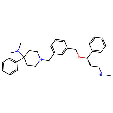 CNCC[C@@H](OCc1cccc(CN2CCC(c3ccccc3)(N(C)C)CC2)c1)c1ccccc1